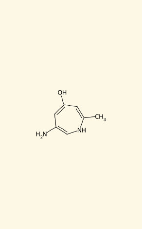 CC1=CC(O)=CC(N)=CN1